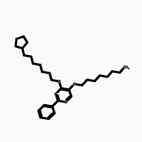 CCCCCCCCOc1cnc(-c2ccccc2)nc1OCCCCCCCC1CCCC1